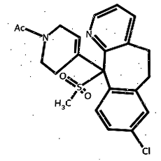 CC(=O)N1CC=C(C2(S(C)(=O)=O)c3ccc(Cl)cc3CCc3cccnc32)CC1